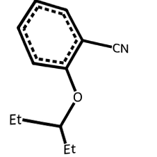 CCC(CC)Oc1ccccc1C#N